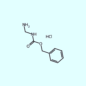 Cl.NCNC(=O)OCc1ccccc1